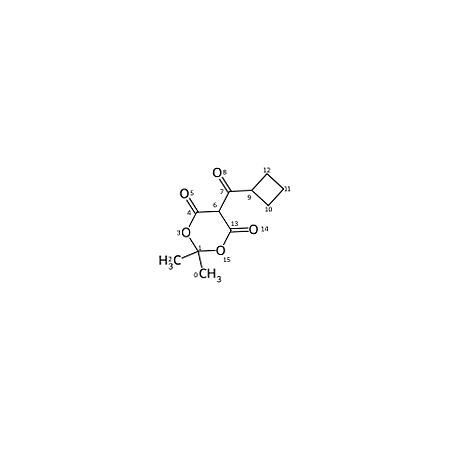 CC1(C)OC(=O)C(C(=O)C2CCC2)C(=O)O1